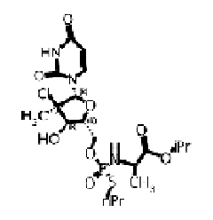 CCCSP(=O)(NC(C)C(=O)OC(C)C)OC[C@H]1O[C@@H](n2ccc(=O)[nH]c2=O)[C@](C)(Cl)[C@@H]1O